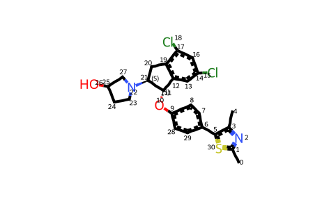 Cc1nc(C)c(-c2ccc(O[C@H]3c4cc(Cl)cc(Cl)c4C[C@@H]3N3CCC(O)C3)cc2)s1